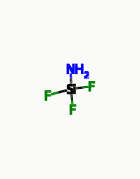 N[Si](F)(F)F